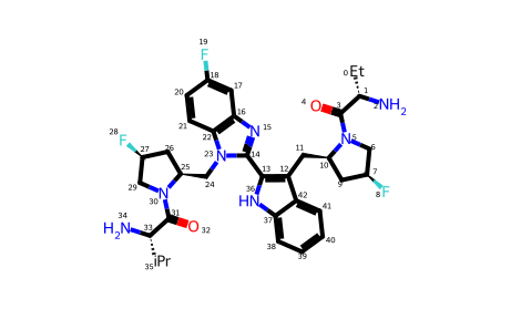 CC[C@H](N)C(=O)N1C[C@@H](F)C[C@H]1Cc1c(-c2nc3cc(F)ccc3n2C[C@@H]2C[C@H](F)CN2C(=O)[C@@H](N)C(C)C)[nH]c2ccccc12